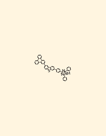 c1ccc(C2=NC(c3ccc(-c4ccc5c(c4)sc4ccc(-c6ccc7c8ccccc8c8ccccc8c7c6)cc45)cc3)=NC(c3ccccc3)N2)cc1